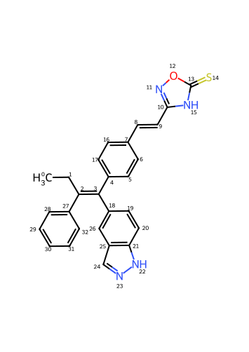 CCC(=C(c1ccc(C=Cc2noc(=S)[nH]2)cc1)c1ccc2[nH]ncc2c1)c1ccccc1